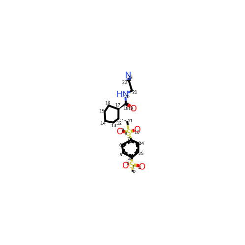 CS(=O)(=O)c1ccc(S(=O)(=O)C[C@@H]2CCCC[C@H]2C(=O)NCC#N)cc1